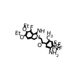 CCOc1cc2c(c(F)c1OCC)C(=N)N(CC(=O)c1cc(N)c(S(F)(F)(F)(F)F)cc1C)C2